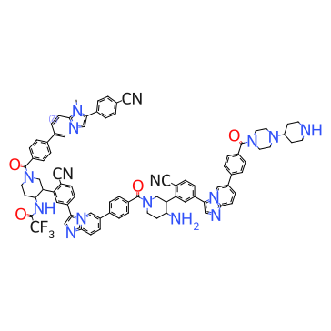 C=C(/C=C\c1ncc(-c2ccc(C#N)cc2)n1C)c1ccc(C(=O)N2CCC(NC(=O)C(F)(F)F)C(c3cc(-c4cnc5ccc(-c6ccc(C(=O)N7CCC(N)C(c8cc(-c9cnc%10ccc(-c%11ccc(C(=O)N%12CCN(C%13CCNCC%13)CC%12)cc%11)cn9%10)ccc8C#N)C7)cc6)cn45)ccc3C#N)C2)cc1